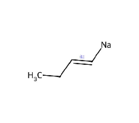 CC/C=[CH]/[Na]